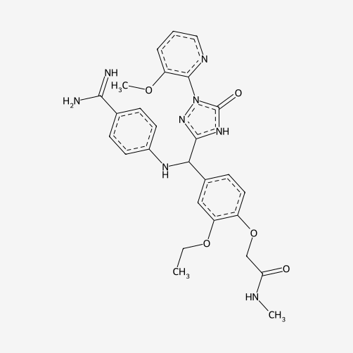 CCOc1cc(C(Nc2ccc(C(=N)N)cc2)c2nn(-c3ncccc3OC)c(=O)[nH]2)ccc1OCC(=O)NC